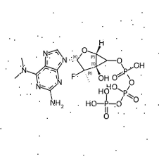 CN(C)c1nc(N)nc2c1ncn2[C@@H]1O[C@@H]2C(OP(=O)(O)OP(=O)(O)OP(=O)(O)O)[C@]2(O)[C@@]1(C)F